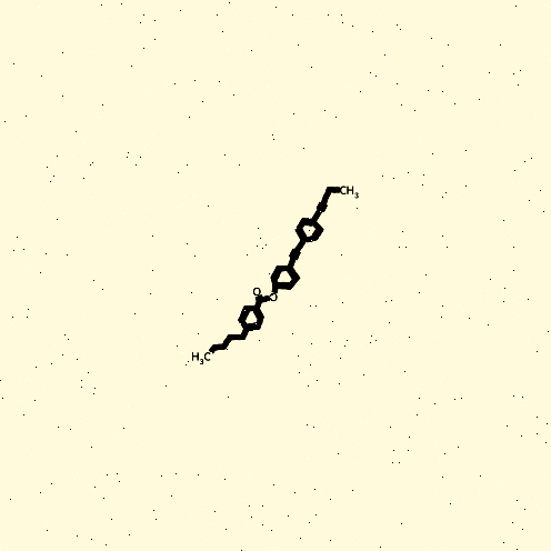 CCC#Cc1ccc(C#Cc2ccc(OC(=O)c3ccc(CCCCC)cc3)cc2)cc1